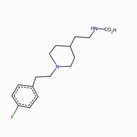 O=C(O)NCCC1CCN(CCc2ccc(F)cc2)CC1